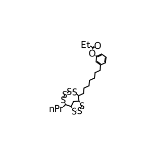 CCCC1SSSSC(CCCCCCCc2cccc(OC(=O)CC)c2)C2CC1SSS2